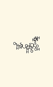 O=CNc1nc(CC(=O)N[C@@H]2C(=O)N3C(C(=O)O)=C(Sc4nc[nH]n4)CS[C@@H]23)cs1